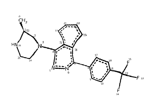 C[C@H]1CN(c2nnc(-c3ccc(C(F)(F)F)cc3)c3ccccc23)CCN1